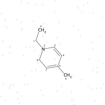 CCN1C=CC(C)=CC1